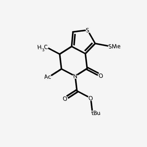 CSc1scc2c1C(=O)N(C(=O)OC(C)(C)C)C(C(C)=O)C2C